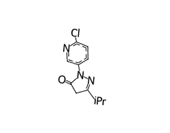 CC(C)C1=NN(c2ccc(Cl)nc2)C(=O)C1